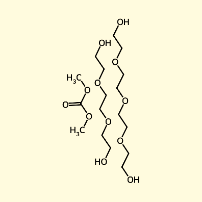 COC(=O)OC.OCCOCCOCCO.OCCOCCOCCOCCO